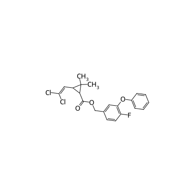 CC1(C)C(C=C(Cl)Cl)C1C(=O)OCc1ccc(F)c(Oc2ccccc2)c1